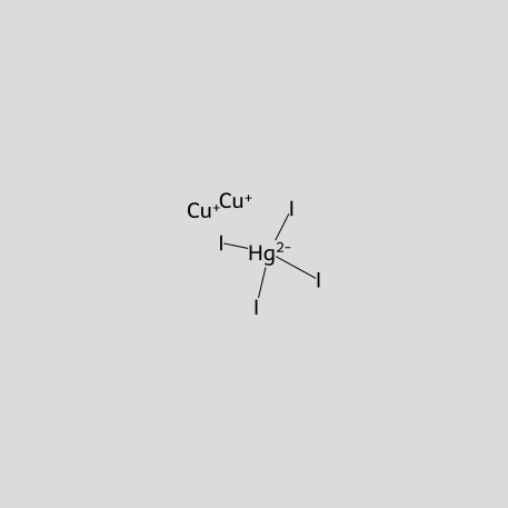 [Cu+].[Cu+].[I][Hg-2]([I])([I])[I]